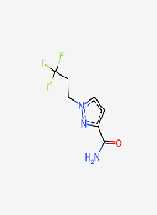 NC(=O)c1ccn(CCC(F)(F)F)n1